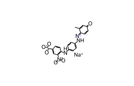 CC1=CC(=O)C=C/C1=N\Nc1ccc(Nc2ccc(S(=O)(=O)[O-])cc2[N+](=O)[O-])cc1.[Na+]